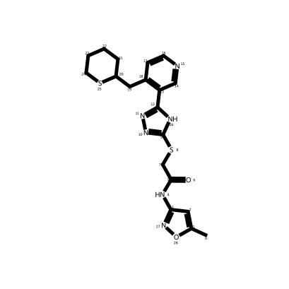 Cc1cc(NC(=O)CSc2nnc(-c3cnccc3CC3CCCCS3)[nH]2)no1